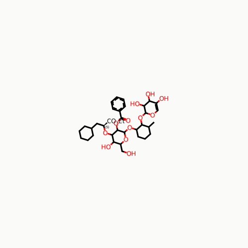 CCOC(=O)[C@H](CC1CCCCC1)OC1C(O)C(CO)OC(OC2CCCC(C)C2OC2OC=C(O)C(O)C2O)C1OC(=O)c1ccccc1